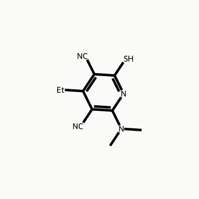 CCc1c(C#N)c(S)nc(N(C)C)c1C#N